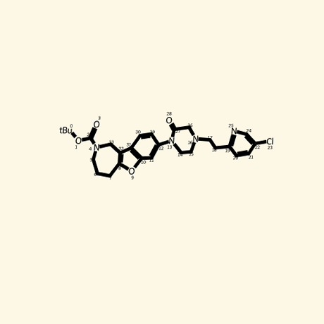 CC(C)(C)OC(=O)N1CCCc2oc3cc(N4CCN(CCc5ccc(Cl)cn5)CC4=O)ccc3c2C1